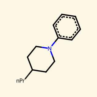 C[CH]CC1CCN(c2ccccc2)CC1